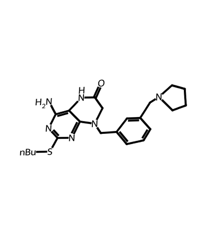 CCCCSc1nc(N)c2c(n1)N(Cc1cccc(CN3CCCC3)c1)CC(=O)N2